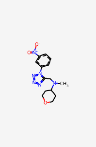 CN(Cc1nnnn1-c1cccc([N+](=O)[O-])c1)C1CCOCC1